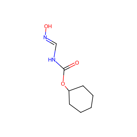 O=C(NC=NO)OC1CCCCC1